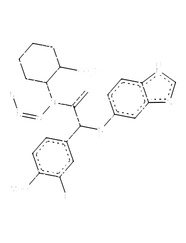 C=C(C(Nc1ccc2[nH]cnc2c1)c1ccc(OC)c(F)c1)N(/N=N\N)C1CCCCC1C(=O)OCC